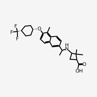 Cc1c(O[C@H]2CC[C@@H](C(F)(F)F)CC2)ccc2cc(C(C)NC3CC(C(=O)O)C3(C)C)ccc12